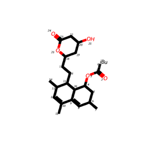 CCC(C)C(=O)OC1CC(C)C=C2C(C)=CC(C)C(CCC3CC(O)CC(=O)O3)C21